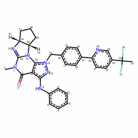 CN1C(=O)c2c(Nc3ccccc3)nn(Cc3ccc(-c4ccc(C(C)(F)F)cn4)cc3)c2N2C1=N[C@@H]1CCC[C@@H]12